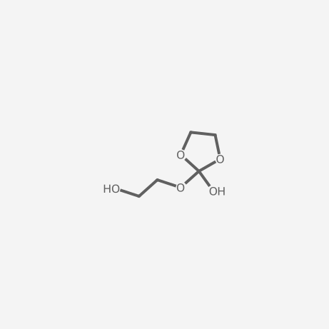 OCCOC1(O)OCCO1